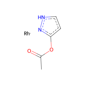 CC(=O)Oc1cc[nH]n1.[Rh]